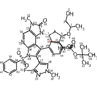 CC(CO)O[C@@H]1C[C@@H](n2c(=O)n(C)c3cnc4c(c(-c5ccc(O)cc5)c(-c5cn(C)nc5F)n4S(=O)(=O)c4ccccc4)c32)C[C@@H]1NC(=O)OC(C)(C)C